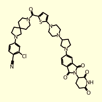 N#Cc1ccc(N2CCC3(CCN(C(=O)c4ccc(N5CCN(C6CCN(c7ccc8c(c7)C(=O)N(C7CCC(=O)NC7=O)C8=O)C6)CC5)s4)CC3)C2)cc1Cl